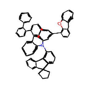 c1ccc(-c2ccccc2-c2ccccc2-c2ccccc2N(c2cccc(-c3cccc4c3oc3ccccc34)c2)c2cccc3c2-c2ccccc2C32CCCC2)cc1